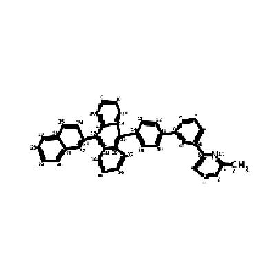 Cc1cccc(-c2cccc(-c3ccc(-c4c5ccccc5c(-c5ccc6ccccc6c5)c5ccccc45)cc3)c2)n1